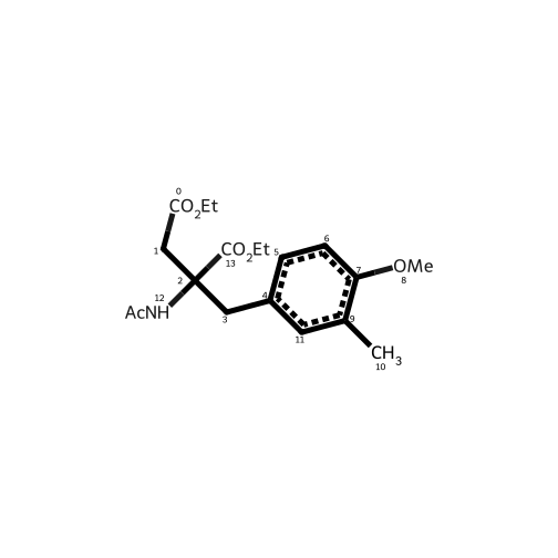 CCOC(=O)CC(Cc1ccc(OC)c(C)c1)(NC(C)=O)C(=O)OCC